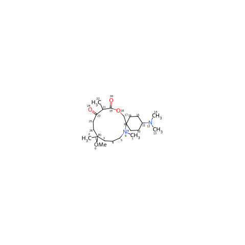 CO[C@]1(C)CCCN(C)C2(CCC(N(C)C)CC2)COC(=O)C(C)C(=O)CC1